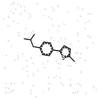 Cc1ccc(-c2ccc(CC(C)C)cc2)s1